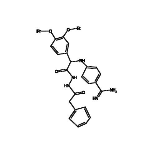 CCOc1cc(C(Nc2ccc(C(=N)N)cc2)C(=O)NNC(=O)Cc2ccccc2)ccc1OC(C)C